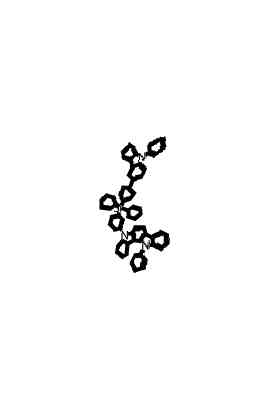 c1ccc(-n2c3ccccc3c3cc(-c4ccc([Si](c5ccccc5)(c5ccccc5)c5cccc(-n6c7ccccc7c7c6ccc6c8ccccc8n(-c8ccccc8)c67)c5)cc4)ccc32)cc1